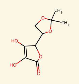 CC1(C)OCC(C2OC(=O)C(O)=C2O)O1